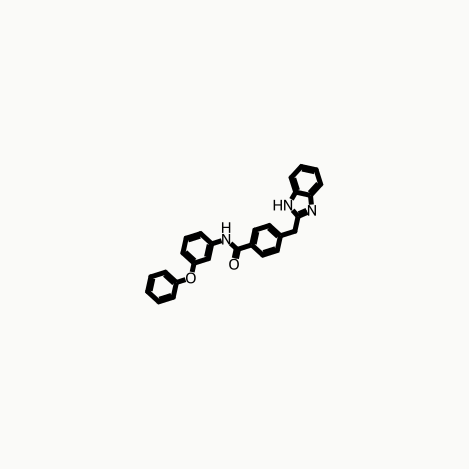 O=C(Nc1cccc(Oc2ccccc2)c1)c1ccc(Cc2nc3ccccc3[nH]2)cc1